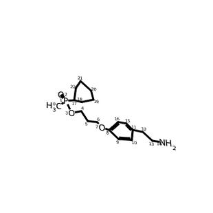 CP(=O)(OCCCOc1ccc(CCN)cc1)C1CCCCC1